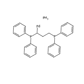 P.[Pd][CH](CCP(c1ccccc1)c1ccccc1)P(c1ccccc1)c1ccccc1